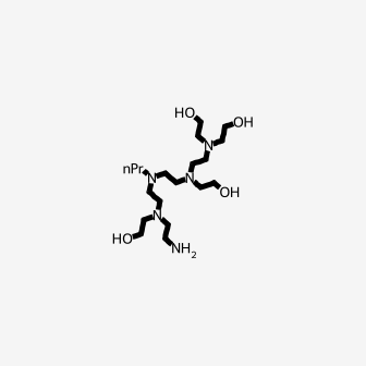 CCCN(CCN(CCN)CCO)CCN(CCO)CCN(CCO)CCO